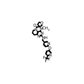 CN1c2nc(NCc3ccc(Oc4ccc(C(F)(F)F)nc4)nc3)nc3c2N(CCC3)C(=O)C12CCOC2